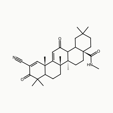 CNC(=O)[C@]12CCC(C)(C)CC1C1C(=O)C=C3[C@@]4(C)C=C(C#N)C(=O)C(C)(C)C4CC[C@@]3(C)[C@]1(C)CC2